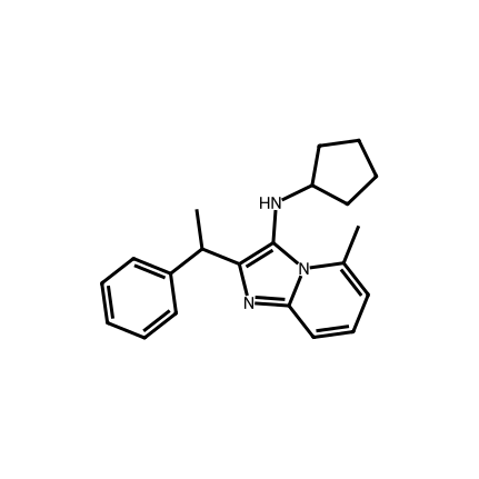 Cc1cccc2nc(C(C)c3ccccc3)c(NC3CCCC3)n12